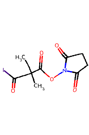 CC(C)(C(=O)I)C(=O)ON1C(=O)CCC1=O